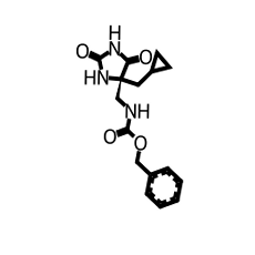 O=C1NC(=O)[C@](CNC(=O)OCc2ccccc2)(CC2CC2)N1